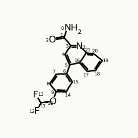 NC(=O)c1cc(-c2ccc(OC(F)F)cc2)c2ccccc2n1